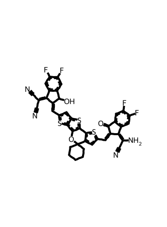 N#CC(C#N)=C1/C(=C/c2cc3sc4c(c3s2)OC2(CCCCC2)c2cc(/C=C3\C(=O)c5cc(F)c(F)cc5\C3=C(/N)C#N)sc2-4)C(O)c2cc(F)c(F)cc21